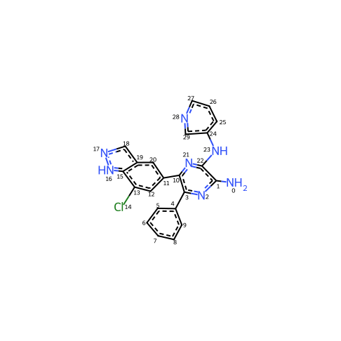 Nc1nc(-c2ccccc2)c(-c2cc(Cl)c3[nH]ncc3c2)nc1Nc1cccnc1